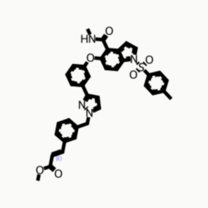 CNC(=O)c1c(Oc2cccc(-c3ccn(Cc4cccc(/C=C/C(=O)OC)c4)n3)c2)ccc2c1ccn2S(=O)(=O)c1ccc(C)cc1